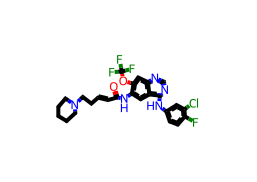 O=C(C=CCCN1CCCCC1)Nc1cc2c(Nc3ccc(F)c(Cl)c3)ncnc2cc1OC(F)(F)F